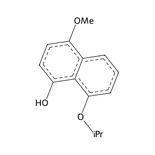 COc1ccc(O)c2c(OC(C)C)cccc12